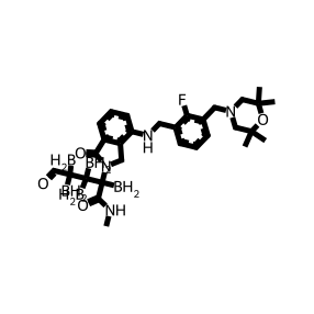 BC(B)(C=O)C(B)(B)C(B)(C(=O)NC)N1Cc2c(NCc3cccc(CN4CC(C)(C)OC(C)(C)C4)c3F)cccc2C1=O